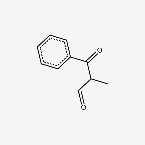 CC(C=O)C(=O)c1ccccc1